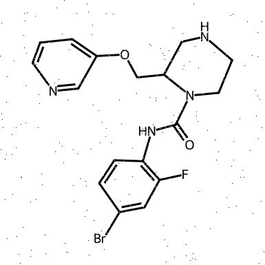 O=C(Nc1ccc(Br)cc1F)N1CCNCC1COc1cccnc1